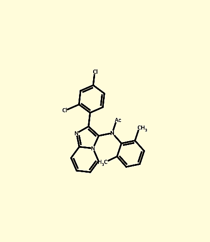 CC(=O)N(c1c(C)cccc1C)c1c(-c2ccc(Cl)cc2Cl)nc2ccccn12